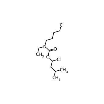 CCN(CCCCCl)C(=O)OC(Cl)CC(C)C